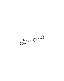 O=C1c2ccccc2C(=O)N1CCCOc1ccc(OCc2ccccc2)c(Br)c1